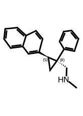 CNC[C@]1(c2ccccc2)C[C@H]1c1ccc2ccccc2c1